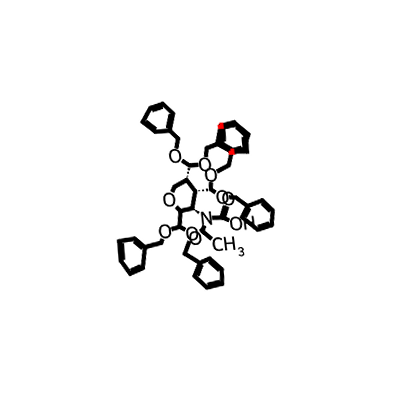 CC(=O)N(C(=O)O)[C@@H]1C(C(OCc2ccccc2)OCc2ccccc2)OC[C@H](C(OCc2ccccc2)OCc2ccccc2)[C@@H]1C(OCc1ccccc1)OCc1ccccc1